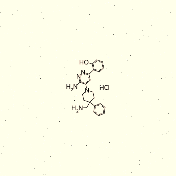 Cl.NCC1(c2ccccc2)CCN(c2cc(-c3ccccc3O)nnc2N)CC1